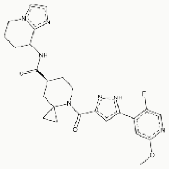 COc1cc(-c2cc(C(=O)N3CC[C@H](C(=O)NC4CCCn5ccnc54)CC34CC4)n[nH]2)c(F)cn1